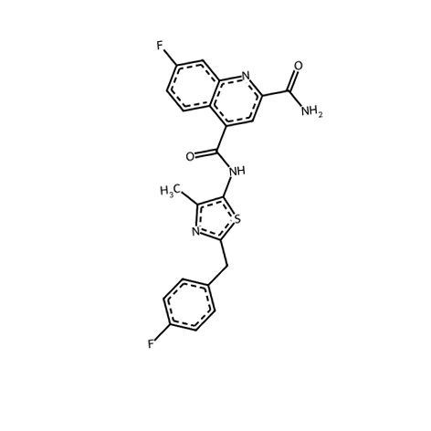 Cc1nc(Cc2ccc(F)cc2)sc1NC(=O)c1cc(C(N)=O)nc2cc(F)ccc12